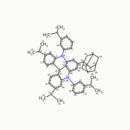 CC(C)c1cccc(N2c3cc(C(C)C)ccc3B3c4ccc(C(C)C)cc4N(c4cccc(C(C)C)c4)c4cc(C56CC7CC(CC(C7)C5)C6)cc2c43)c1